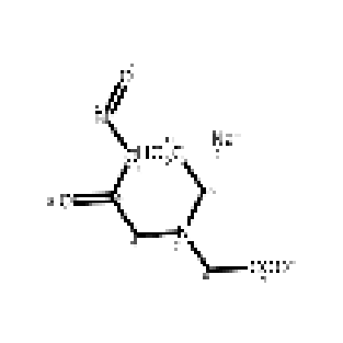 [Na+].[O]=[Bi][O]C(=O)CN(CC(=O)[O-])CC(=O)O